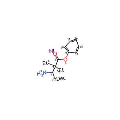 CCCCCCCCCCC(N)C(CC)(CC)C(=O)Oc1ccccc1.I